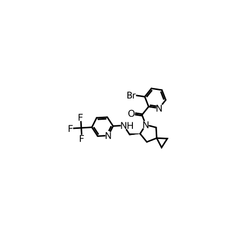 O=C(c1ncccc1Br)N1CC2(CC2)C[C@H]1CNc1ccc(C(F)(F)F)cn1